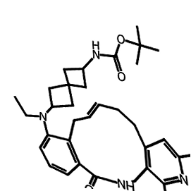 CCN(c1cccc2c1C/C=C/CCc1cc(C)nc(OC)c1CNC2=O)C1CC2(CC(NC(=O)OC(C)(C)C)C2)C1